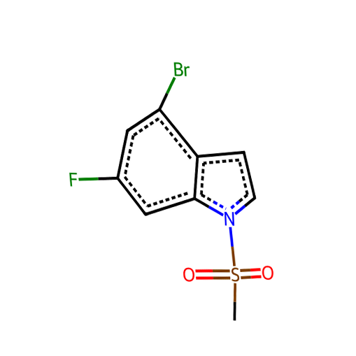 CS(=O)(=O)n1ccc2c(Br)cc(F)cc21